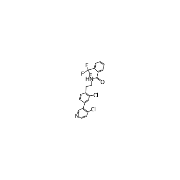 O=C(NCCc1ccc(-c2cnccc2Cl)cc1Cl)c1ccccc1C(F)(F)F